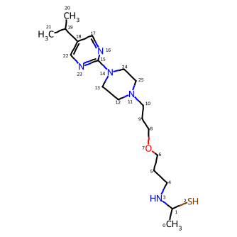 CC(S)NCCCOCCCN1CCN(c2ncc(C(C)C)cn2)CC1